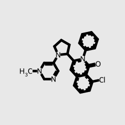 CN1C=C(N2CCCC2c2cc3cccc(Cl)c3c(=O)n2-c2ccccc2)C=NC1